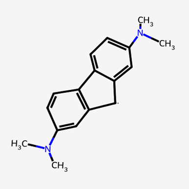 CN(C)c1ccc2c(c1)[CH]c1cc(N(C)C)ccc1-2